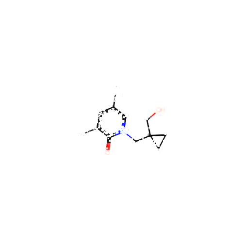 CC(C)(C)c1cc(C(F)(F)F)cn(CC2(CO)CC2)c1=O